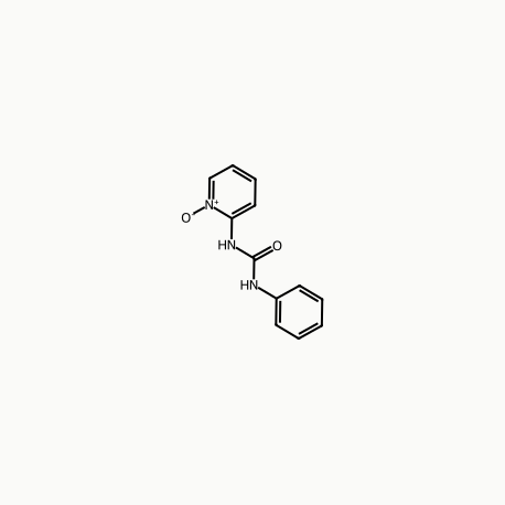 O=C(Nc1ccccc1)Nc1cccc[n+]1[O-]